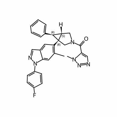 Cc1cc2c(cnn2-c2ccc(F)cc2)cc1[C@]12CN(C(=O)c3cnnn3C)C[C@H]1[C@@H]2c1ccccc1